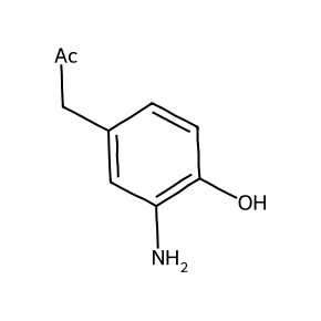 CC(=O)Cc1ccc(O)c(N)c1